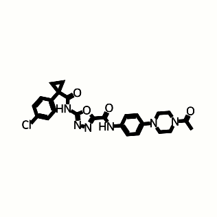 CC(=O)N1CCN(c2ccc(NC(=O)c3nnc(NC(=O)C4(c5ccc(Cl)cc5)CC4)o3)cc2)CC1